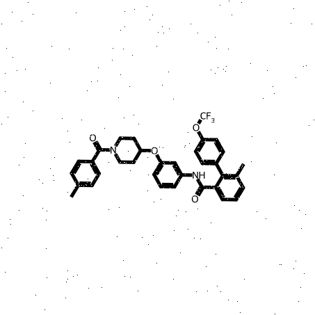 Cc1ccc(C(=O)N2CCC(Oc3cccc(NC(=O)c4cccc(C)c4-c4ccc(OC(F)(F)F)cc4)c3)CC2)cc1